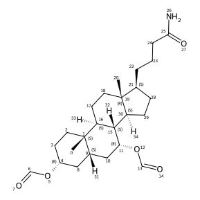 C[C@]12CC[C@@H](OC=O)C[C@H]1C[C@@H](OC=O)[C@@H]1[C@@H]2CC[C@]2(C)[C@@H](CCCC(N)=O)CC[C@@H]12